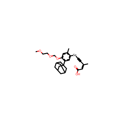 COCCOCOc1cc(C)c([Se]C#CC(C)=CC(=O)O)cc1C12CC3CC(CC(C3)C1)C2